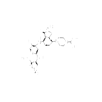 Cc1nn(C)cc1Nc1cc(Nc2ccc(N3CCN(C(C)C)CC3)c3c2C(=O)N(C)C3)c(F)cn1